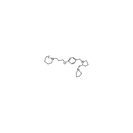 c1cc(OCCCN2CCCCC2)ccc1CN1CCC[C@H]1CN1CCCC1